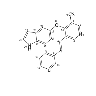 N#Cc1cncc(/C=C/c2ccccc2)c1Oc1ccc2[nH]ccc2c1